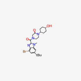 Cn1c(C(=O)N2CCN(C3CCC(O)CC3)C(=O)C2)nc2c(Br)cc(C(C)(C)C)cc21